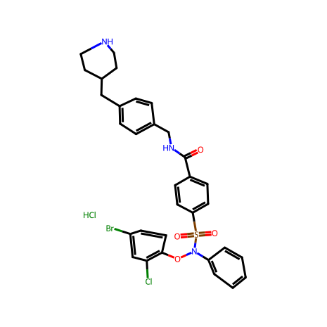 Cl.O=C(NCc1ccc(CC2CCNCC2)cc1)c1ccc(S(=O)(=O)N(Oc2ccc(Br)cc2Cl)c2ccccc2)cc1